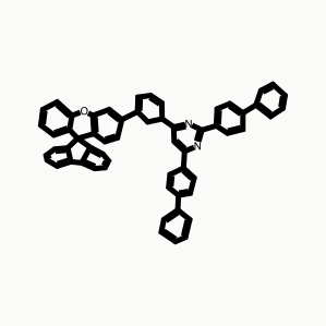 C1=CC(c2cc(-c3ccc(-c4ccccc4)cc3)nc(-c3ccc(-c4ccccc4)cc3)n2)CC(c2ccc3c(c2)Oc2ccccc2C32c3ccccc3-c3ccccc32)=C1